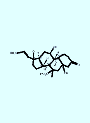 CC1(C(=O)O)CC2(C#N)CC(=O)CC[C@]2(C)[C@H]2C(O)C[C@@]3(C)[C@@H](CC[C@]3(O)CCC(=O)O)[C@@H]21